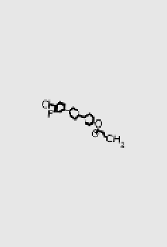 C=CCC(=O)O[C@H]1CC[C@H]([C@H]2CC[C@H](c3ccc(Cl)c(F)c3)CC2)CC1